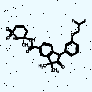 CC1(C)C(=O)N(c2cccc(OCC(F)F)c2)c2ccc(C(=O)N[C@]3(C)CC=CS(=O)(=O)N3)cc21